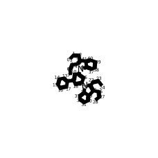 C/C=C\c1c(/C=C\C)n(-c2cc(-c3ccccc3)cc(-n3c(/C=C\C)c(/C=C\C)c4ccccc43)c2)c2ccccc12